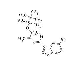 C=N/C(=N\C(=C)CO[Si](C)(C)C(C)(C)C)n1ncc2ccc(Br)cc21